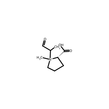 CC(C=O)[N+]1(C)CCC[C@H]1C(=O)O